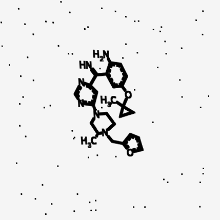 C[C@H]1CN(c2cc(C(=N)c3cc(OC4(C)CC4)ccc3N)ncn2)CCN1Cc1ccco1